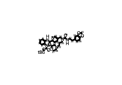 CC(C)(C)OC(=O)Nc1ccccc1NC(=O)c1ccc(CN(CCCN2CCOCC2)C(=O)NCCc2ccc3c(c2)OCO3)cn1